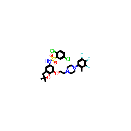 Cc1c(N2CCN(CCOc3cc(NS(=O)(=O)c4cc(Cl)ccc4Cl)cc4c3OC(C)(C)C4)CC2)cc(F)c(F)c1F